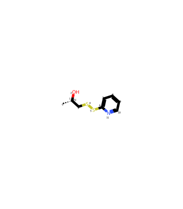 C[C@H](O)CSSc1ccccn1